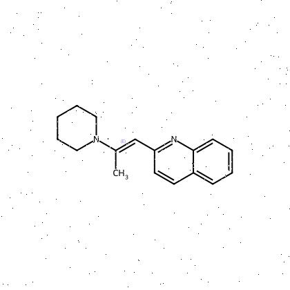 C/C(=C\c1ccc2ccccc2n1)N1CCCCC1